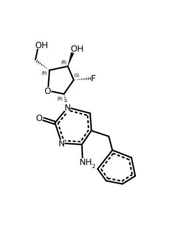 Nc1nc(=O)n([C@@H]2O[C@H](CO)[C@@H](O)[C@@H]2F)cc1Cc1ccccc1